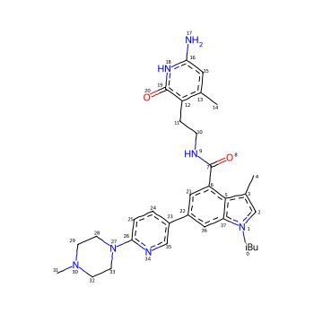 CCC(C)n1cc(C)c2c(C(=O)NCCc3c(C)cc(N)[nH]c3=O)cc(-c3ccc(N4CCN(C)CC4)nc3)cc21